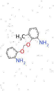 Cc1cccc(N)c1OCOc1ccccc1N